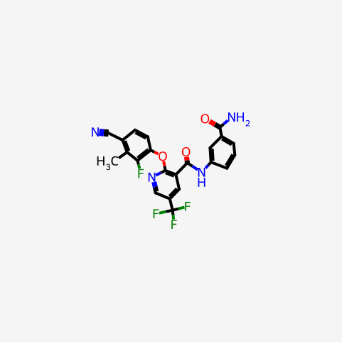 Cc1c(C#N)ccc(Oc2ncc(C(F)(F)F)cc2C(=O)Nc2cccc(C(N)=O)c2)c1F